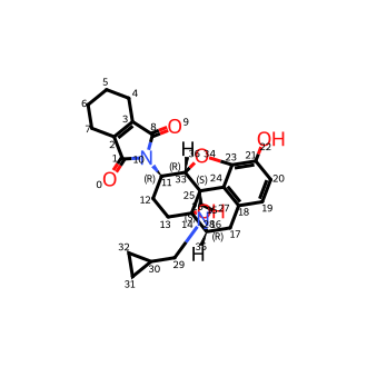 O=C1C2=C(CCCC2)C(=O)N1[C@@H]1CC[C@@]2(O)[C@H]3Cc4ccc(O)c5c4[C@@]2(CCN3CC2CC2)[C@H]1O5